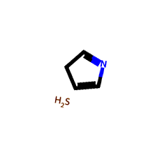 C1=CN=CC1.S